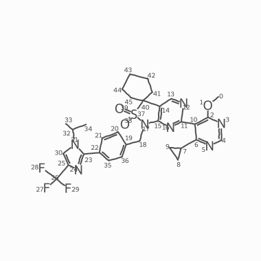 COc1ncnc(C2CC2)c1-c1ncc2c(n1)N(Cc1ccc(-c3nc(C(F)(F)F)cn3C(C)C)cc1)S(=O)(=O)C21CCCCC1